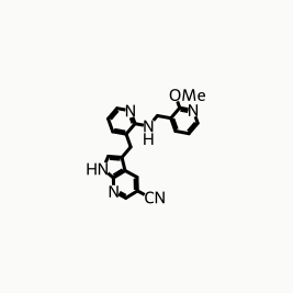 COc1ncccc1CNc1ncccc1Cc1c[nH]c2ncc(C#N)cc12